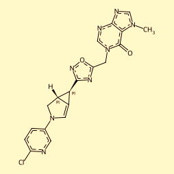 Cn1cnc2ncn(Cc3nc([C@H]4C5=CN(c6ccc(Cl)nc6)C[C@@H]54)no3)c(=O)c21